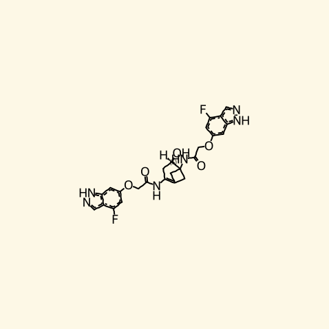 O=C(COc1cc(F)c2cn[nH]c2c1)NC1=C2CC(NC(=O)COc3cc(F)c4cn[nH]c4c3)(C2)[C@@H](O)C1